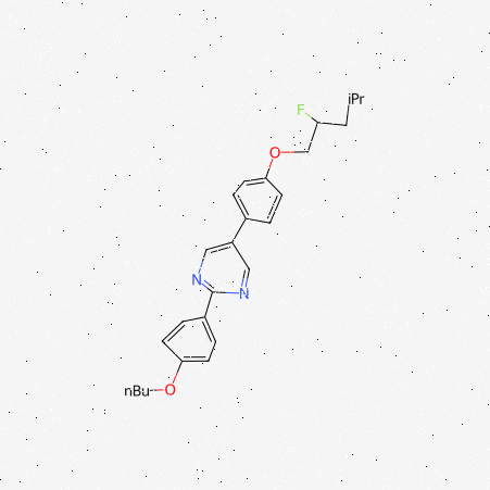 CCCCOc1ccc(-c2ncc(-c3ccc(OCC(F)CC(C)C)cc3)cn2)cc1